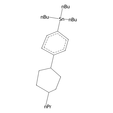 CCC[CH2][Sn]([CH2]CCC)([CH2]CCC)[c]1ccc(C2CCC(CCC)CC2)cc1